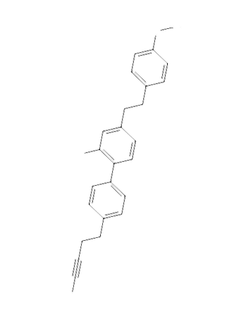 CC#CCCc1ccc(-c2ccc(CCc3ccc(OCCCC)cc3)cc2F)cc1